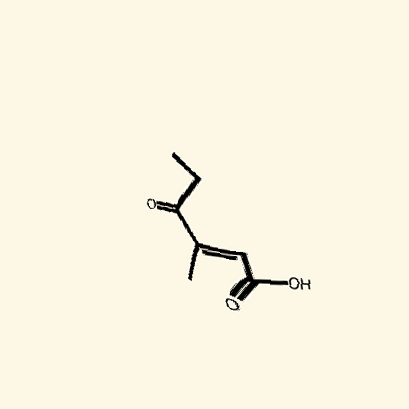 CCC(=O)C(C)=CC(=O)O